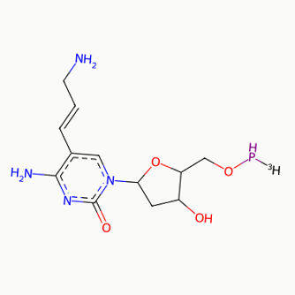 [3H]POCC1OC(n2cc(/C=C/CN)c(N)nc2=O)CC1O